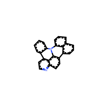 c1ccc2c(c1)-c1ccnc3ccc4c(c13)N2c1cccc2cccc-4c12